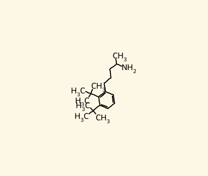 CC(N)CCCc1cccc(C(C)(C)C)c1C(C)(C)C